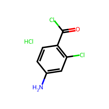 Cl.Nc1ccc(C(=O)Cl)c(Cl)c1